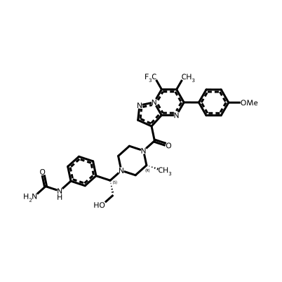 COc1ccc(-c2nc3c(C(=O)N4CCN([C@H](CO)c5cccc(NC(N)=O)c5)C[C@H]4C)cnn3c(C(F)(F)F)c2C)cc1